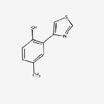 Cc1ccc(S)c(-c2cscn2)c1